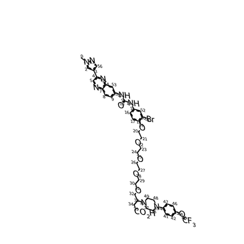 Cn1cc(-c2cnc3ccc(NC(=O)Nc4ccc(OCCOCCOCCOCCOCC(CC(=O)O)N5CCN(c6ccc(OC(F)(F)F)cc6)CC5)c(Br)c4)cc3n2)cn1